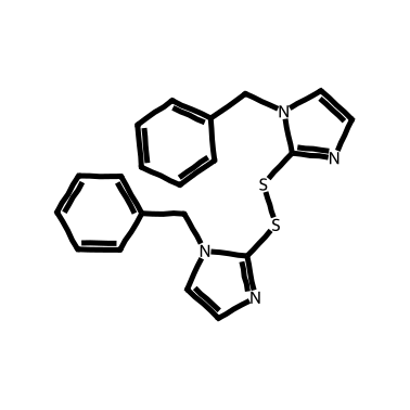 c1ccc(Cn2ccnc2SSc2nccn2Cc2ccccc2)cc1